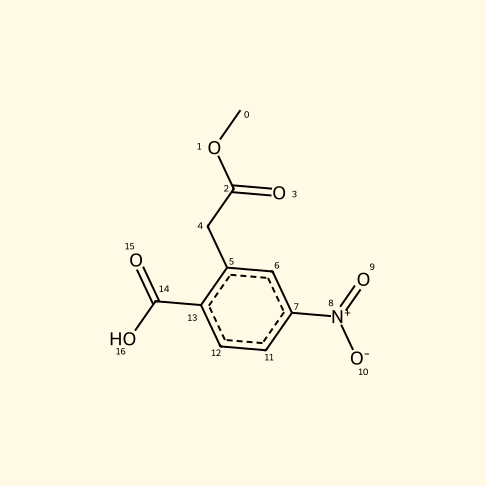 COC(=O)Cc1cc([N+](=O)[O-])ccc1C(=O)O